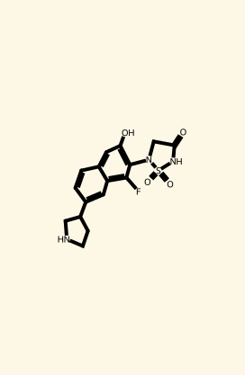 O=C1CN(c2c(O)cc3ccc(C4CCNC4)cc3c2F)S(=O)(=O)N1